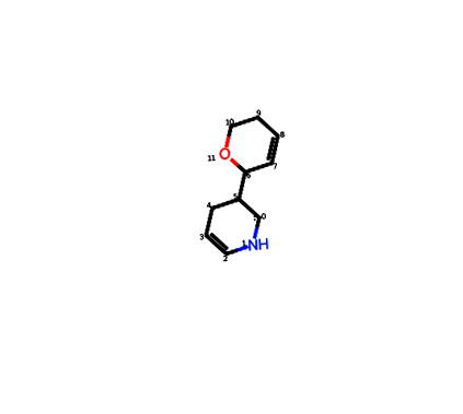 [C]1NC=CCC1C1C=CCCO1